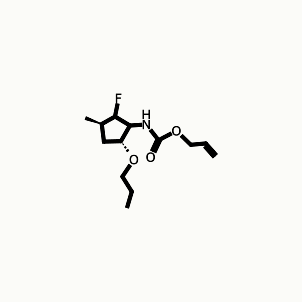 C=CCOC(=O)NC1C(F)[C@H](C)C[C@H]1OCCC